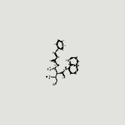 CC(C)C[C@@H](C(=O)O)N(C(=S)Nc1cccc2cccnc12)C(C)NC(=O)/C=C/c1ccccc1